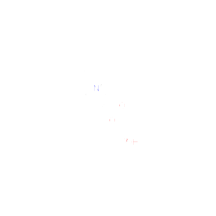 O=C(CCN1CCCC1)OCCO